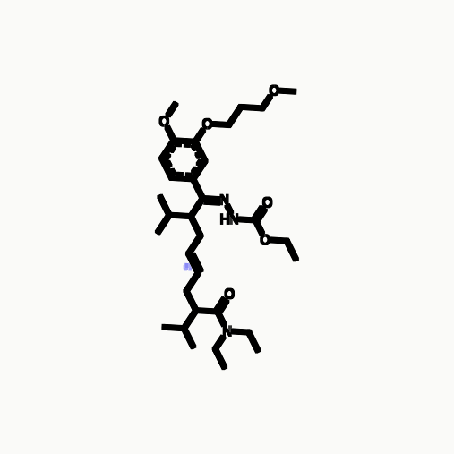 CCOC(=O)NN=C(c1ccc(OC)c(OCCCOC)c1)C(C/C=C/CC(C(=O)N(CC)CC)C(C)C)C(C)C